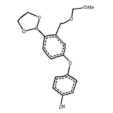 COCOCc1cc(Oc2ccc(C#N)cc2)ccc1B1OCCO1